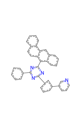 c1ccc(-c2nc(-c3cccc(-c4cccnc4)c3)nc(-c3c4ccccc4cc4c3ccc3ccccc34)n2)cc1